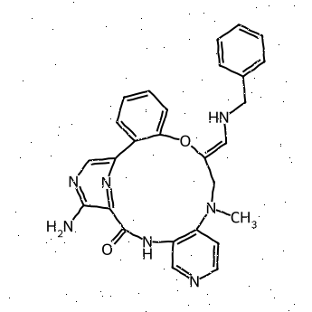 CN1C/C(=C/NCc2ccccc2)Oc2ccccc2-c2cnc(N)c(n2)C(=O)Nc2cnccc21